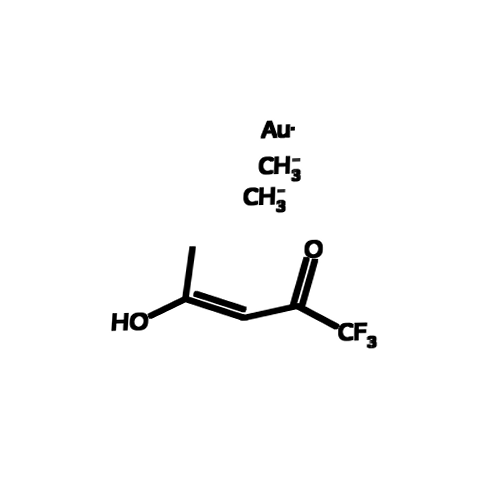 C/C(O)=C\C(=O)C(F)(F)F.[Au].[CH3-].[CH3-]